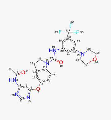 CC(=O)Nc1cc(Oc2ccc3c(c2)CCN3C(=O)Nc2cc(N3CCOCC3)cc(C(F)(F)F)c2)ncn1